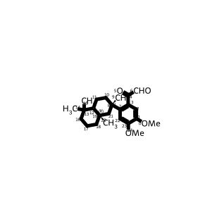 COc1cc(C(=O)C=O)c([C@]2(C)CCC3C(C)(C)CCC[C@]3(C)C2)cc1OC